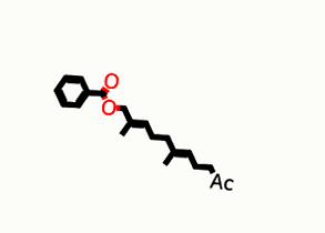 CC(=O)CC/C=C(\C)CC/C=C(\C)COC(=O)c1ccccc1